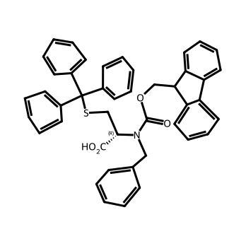 O=C(O)[C@H](CSC(c1ccccc1)(c1ccccc1)c1ccccc1)N(Cc1ccccc1)C(=O)OCC1c2ccccc2-c2ccccc21